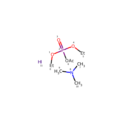 CCOP(=O)(OCC)OC(C)=O.CN(C)C.I